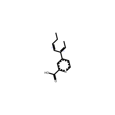 C/C=C(\C=C/CC)c1ccnc(C(=O)O)c1